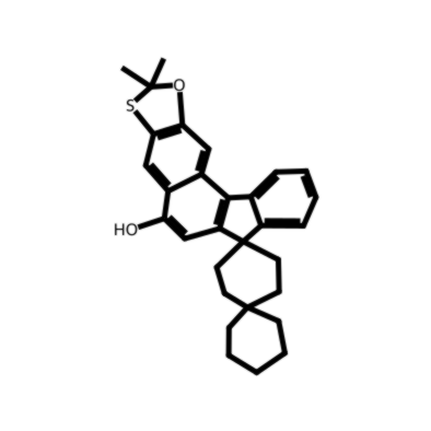 CC1(C)Oc2cc3c4c(cc(O)c3cc2S1)C1(CCC2(CCCCC2)CC1)c1ccccc1-4